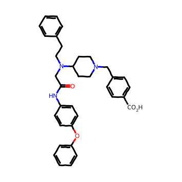 O=C(CN(CCc1ccccc1)C1CCN(Cc2ccc(C(=O)O)cc2)CC1)Nc1ccc(Oc2ccccc2)cc1